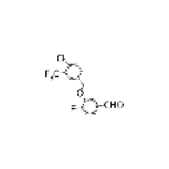 O=Cc1ccc(F)c(OCc2ccc(Cl)c(C(F)(F)F)c2)c1